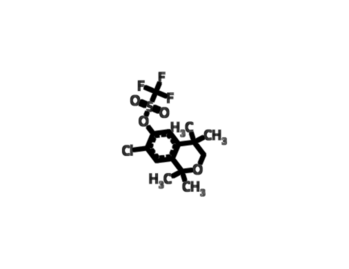 CC1(C)COC(C)(C)c2cc(Cl)c(OS(=O)(=O)C(F)(F)F)cc21